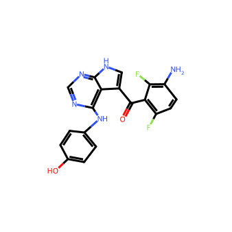 Nc1ccc(F)c(C(=O)c2c[nH]c3ncnc(Nc4ccc(O)cc4)c23)c1F